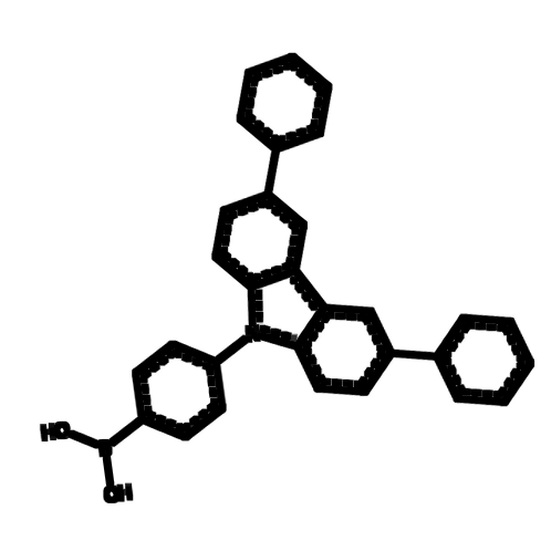 OB(O)c1ccc(-n2c3ccc(-c4ccccc4)cc3c3cc(-c4ccccc4)ccc32)cc1